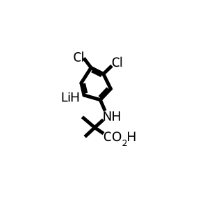 CC(C)(Nc1ccc(Cl)c(Cl)c1)C(=O)O.[LiH]